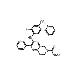 CNC(=O)N1CCc2nc(-c3ccccc3)c(Nc3cc(-c4ncccn4)c(C(F)(F)F)cc3F)cc2C1